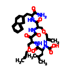 C=CCOCC(NC(=O)C(=O)C(COCC=C)NC(=O)[C@H](CC(C)C)NC(=O)O)C(=O)NC(Cc1ccc2ccccc2c1)C(N)=O